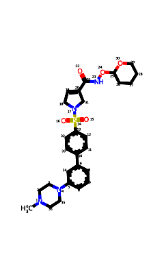 CN1CCN(c2cccc(-c3ccc(S(=O)(=O)N4CC=C(C(=O)NOC5CCCCO5)C4)cc3)c2)CC1